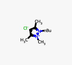 CCCCn1c(C)cc(C)[n+]1C.[Cl-]